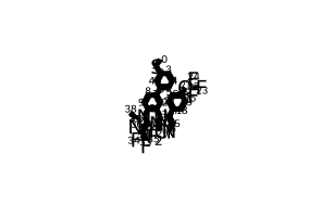 CSc1cccc(-c2ccc3c(c2)N(/C(=C\N)c2ccc(OC(F)(F)F)cc2)N(Cl)c2c(C(F)(F)F)nc(C)n2-3)c1